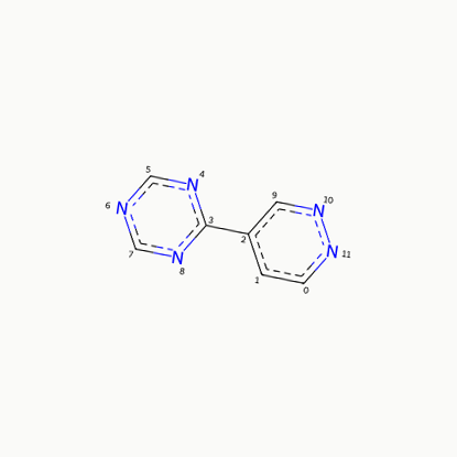 c1cc(-c2ncncn2)cnn1